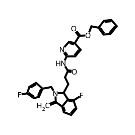 C=C1c2cccc(F)c2C(CCC(=O)Nc2ccc(C(=O)OCc3ccccc3)cn2)N1Cc1ccc(F)cc1